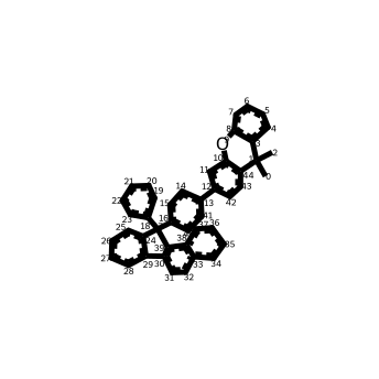 CC1(C)c2ccccc2Oc2cc(-c3ccc(C4(c5ccccc5)c5ccccc5-c5ccc6ccccc6c54)cc3)ccc21